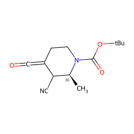 C[C@H]1C(C#N)C(=C=O)CCN1C(=O)OC(C)(C)C